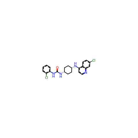 O=C(Nc1ccccc1Cl)N[C@H]1CC[C@@H](Nc2ccnc3cc(Cl)ccc23)CC1